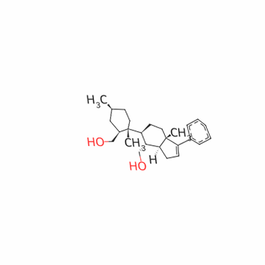 C[C@H]1CC[C@](C)([C@H]2CC[C@]3(C)C(c4ccccc4)=CC[C@H]3[C@@H]2CO)[C@@H](CO)C1